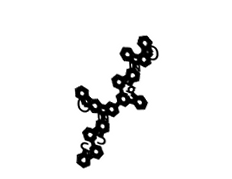 c1ccc2c(c1)oc1cc3c(cc12)c1cc(-c2cc(-c4cccc5c4sc4ccc(-n6c7ccccc7c7c8c(ccc76)oc6ccccc68)cc45)c4sc5ccccc5c4c2)ccc1n3-c1ccc2sc3c(-c4cccc5c4sc4ccccc45)cccc3c2c1